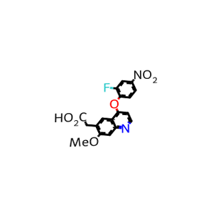 COc1cc2nccc(Oc3ccc([N+](=O)[O-])cc3F)c2cc1CC(=O)O